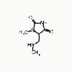 CNCC1C(=O)NC(=O)N1C